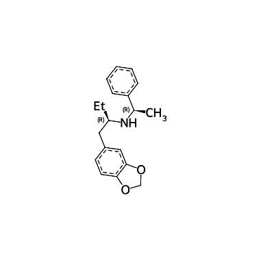 CC[C@H](Cc1ccc2c(c1)OCO2)N[C@H](C)c1ccccc1